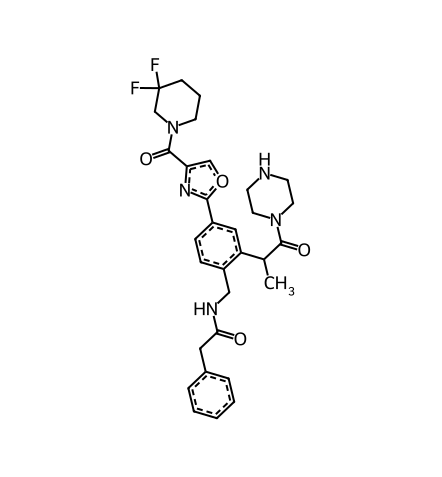 CC(C(=O)N1CCNCC1)c1cc(-c2nc(C(=O)N3CCCC(F)(F)C3)co2)ccc1CNC(=O)Cc1ccccc1